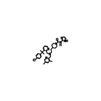 Cc1cnc(CN(CCC2CCN(C(=O)Nc3ncc[nH]3)CC2)Cc2ncccc2C(C)(C)c2ccc(Cl)cc2)c(C)c1